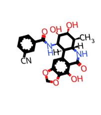 C[C@@H]1[C@H](O)[C@@H](O)[C@H](NC(=O)c2cccc(C#N)c2)[C@@H]2c3cc4c(c(O)c3C(=O)N[C@@H]12)OCO4